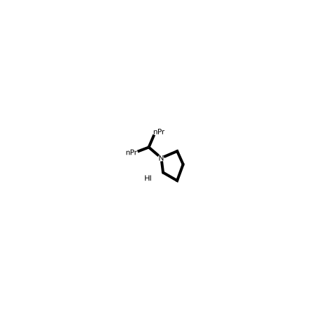 CCCC(CCC)N1CCCC1.I